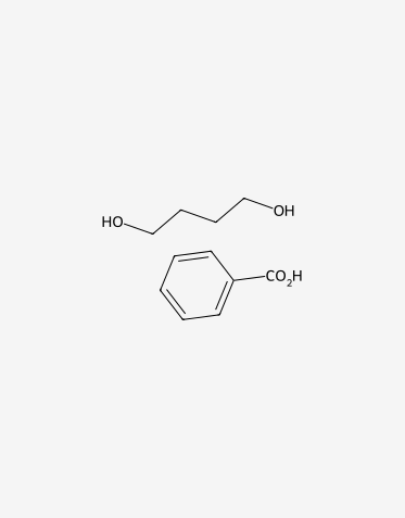 O=C(O)c1ccccc1.OCCCCO